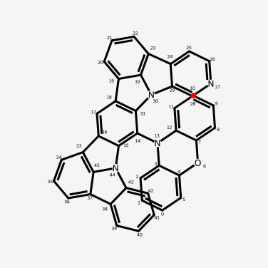 c1ccc2c(c1)Oc1ccccc1N2c1c2c(cc3c4cccc5c6ccncc6n(c13)c54)c1cccc3c4ccccc4n2c31